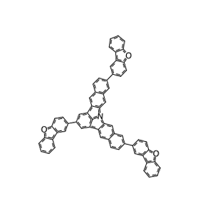 c1ccc2c(c1)oc1ccc(-c3ccc4cc5c6cc(-c7ccc8oc9ccccc9c8c7)cc7c8cc9ccc(-c%10ccc%11oc%12ccccc%12c%11c%10)cc9cc8n(c5cc4c3)c67)cc12